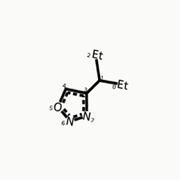 [CH2]CC(CC)c1conn1